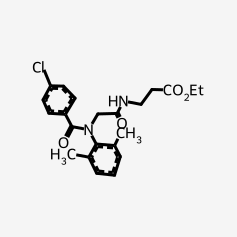 CCOC(=O)CCNC(=O)CN(C(=O)c1ccc(Cl)cc1)c1c(C)cccc1C